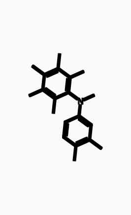 Cc1ccc(N(C)c2c(C)c(C)c(C)c(C)c2C)cc1C